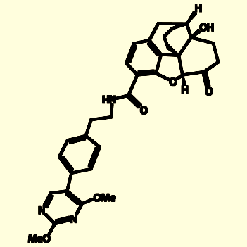 COc1ncc(-c2ccc(CCNC(=O)c3ccc4c5c3O[C@H]3C(=O)CC[C@@]6(O)[C@H](CCC[C@]536)C4)cc2)c(OC)n1